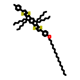 CCCCCCCCCCCCCCCCCCOc1ccc(-c2cc3sc4c(c3s2)C(CCCCCC)(CCCCCC)c2cc3c(cc2-4)C(CCCCCC)(CCCCCC)c2c-3sc3cc(-c4ccc(C)cc4)sc23)cc1